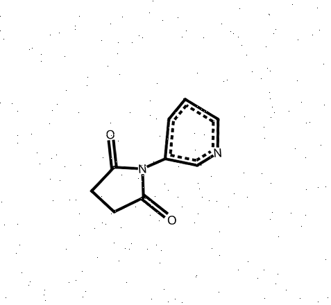 O=C1CCC(=O)N1c1[c]nccc1